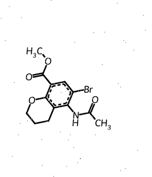 COC(=O)c1cc(Br)c(NC(C)=O)c2c1OCCC2